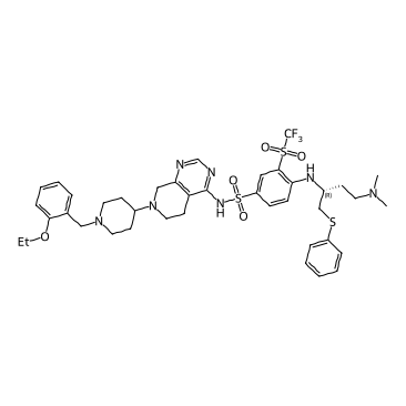 CCOc1ccccc1CN1CCC(N2CCc3c(ncnc3NS(=O)(=O)c3ccc(N[C@H](CCN(C)C)CSc4ccccc4)c(S(=O)(=O)C(F)(F)F)c3)C2)CC1